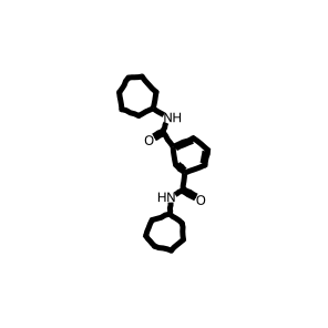 O=C(NC1CCCCCC1)c1cccc(C(=O)NC2CCCCCC2)c1